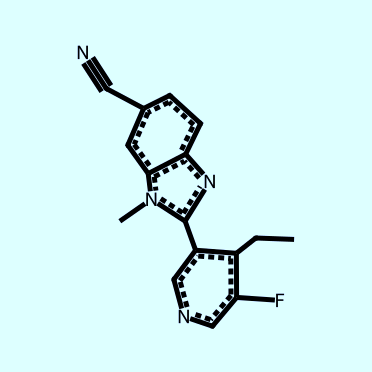 CCc1c(F)cncc1-c1nc2ccc(C#N)cc2n1C